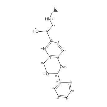 CC(C)(C)NCC(O)c1ccc2c(n1)COC(c1ccccc1)O2